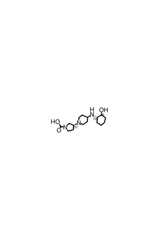 O=C(O)N1CC[C@H](N2CCC(N[C@H]3CCCC[C@@H]3O)CC2)C1